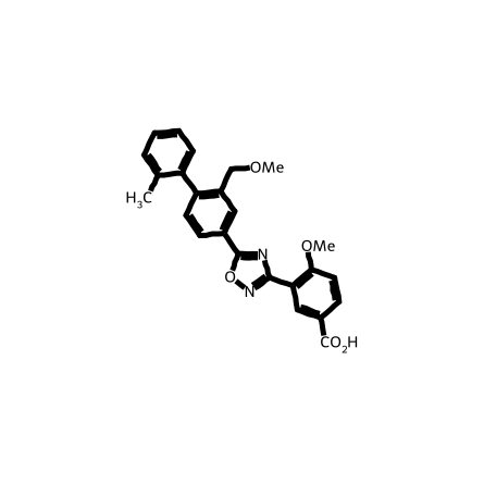 COCc1cc(-c2nc(-c3cc(C(=O)O)ccc3OC)no2)ccc1-c1ccccc1C